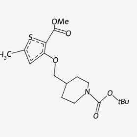 COC(=O)c1sc(C)cc1OCC1CCN(C(=O)OC(C)(C)C)CC1